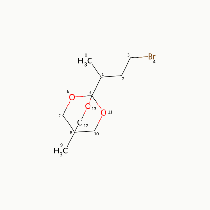 CC(CCBr)C12OCC(C)(CO1)CO2